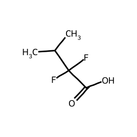 CC(C)C(F)(F)C(=O)O